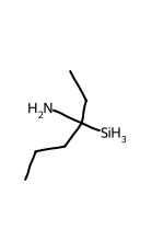 CCCC(N)([SiH3])CC